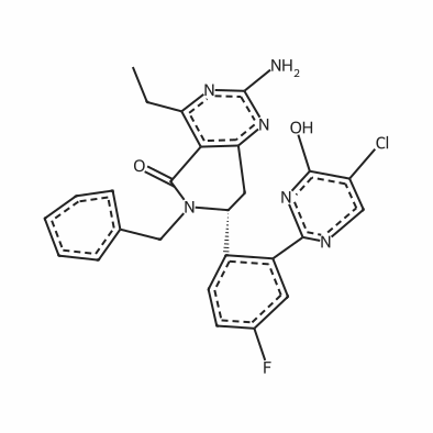 CCc1nc(N)nc2c1C(=O)N(Cc1ccccc1)[C@@H](c1ccc(F)cc1-c1ncc(Cl)c(O)n1)C2